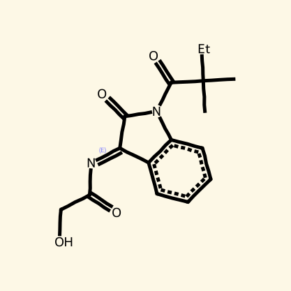 CCC(C)(C)C(=O)N1C(=O)/C(=N/C(=O)CO)c2ccccc21